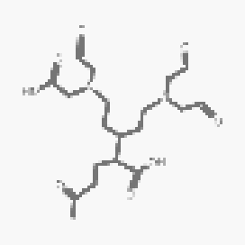 CC(=O)CCC(C(=O)O)C(CCN(CC=O)CC=O)CCN(CC=O)CC(=O)O